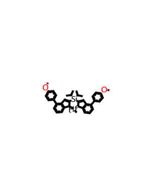 COc1ccc(-c2cccc3c2C=C2[CH]3[Hf]([CH3])([CH3])[CH]3C(=Cc4c(-c5ccc(OC)cc5)cccc43)[Si]2(C(C)C)C(C)C)cc1